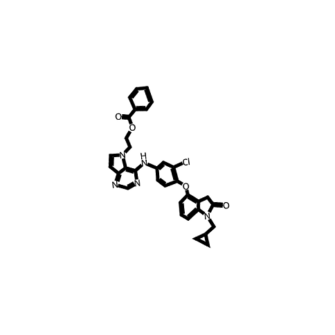 O=C(OCCn1ccc2ncnc(Nc3ccc(Oc4cccc5c4CC(=O)N5CC4CC4)c(Cl)c3)c21)c1ccccc1